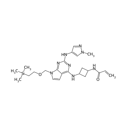 C=CC(=O)NC1CC(Nc2nc(Nc3cnn(C)c3)nc3c2ccn3COCC[Si](C)(C)C)C1